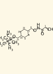 C=CC(=O)NOCC1CCC(CO[Si](C)(C)C(C)(C)C)CC1